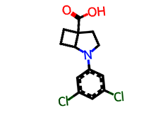 O=C(O)C12CCC1N(c1cc(Cl)cc(Cl)c1)CC2